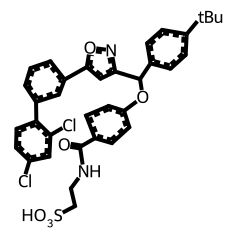 CC(C)(C)c1ccc(C(Oc2ccc(C(=O)NCCS(=O)(=O)O)cc2)c2cc(-c3cccc(-c4ccc(Cl)cc4Cl)c3)on2)cc1